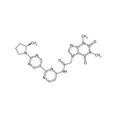 C[C@@H]1CCCN1c1ncc(-c2nccc(NC(=O)Cn3cnc4c3c(=O)n(C)c(=O)n4C)n2)cn1